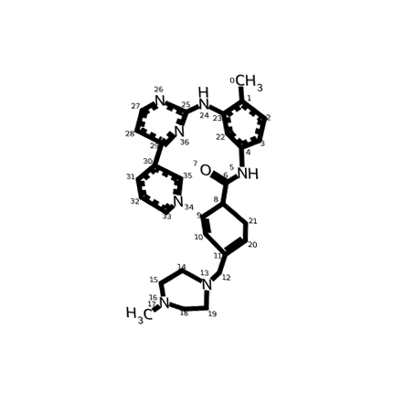 Cc1ccc(NC(=O)C2C=CC(CN3CCN(C)CC3)=CC2)cc1Nc1nccc(-c2cccnc2)n1